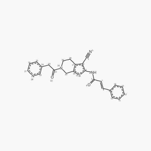 N#Cc1c(NC(=O)C=Cc2ccccc2)sc2c1CCN(C(=O)Cc1cccnc1)C2